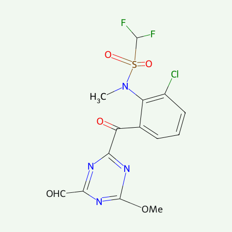 COc1nc(C=O)nc(C(=O)c2cccc(Cl)c2N(C)S(=O)(=O)C(F)F)n1